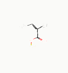 CCCC=C(CC)C(=O)OS